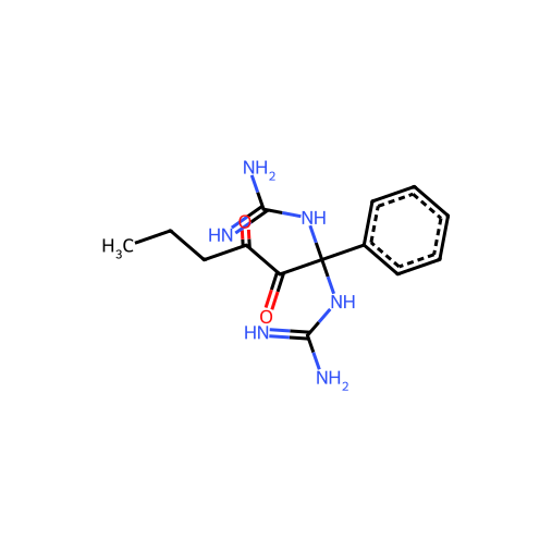 CCCC(=O)C(=O)C(NC(=N)N)(NC(=N)N)c1ccccc1